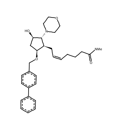 CNC(=O)CCC/C=C\C[C@@H]1[C@@H](N2CCOCC2)[C@H](O)C[C@@H]1OCc1ccc(-c2ccccc2)cc1